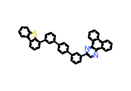 c1cc(-c2ccc(-c3cccc(-c4cccc5c4sc4ccccc45)c3)cc2)cc(-c2cnc3c4ccccc4c4ccccc4c3n2)c1